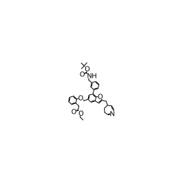 CCOC(=O)Cc1ccccc1OCc1cc(-c2cccc(CNC(=O)OC(C)(C)C)c2)c2oc(CC3C=CN=CCC3)cc2c1